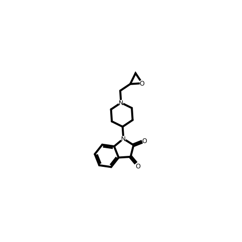 O=C1C(=O)N(C2CCN(CC3CO3)CC2)c2ccccc21